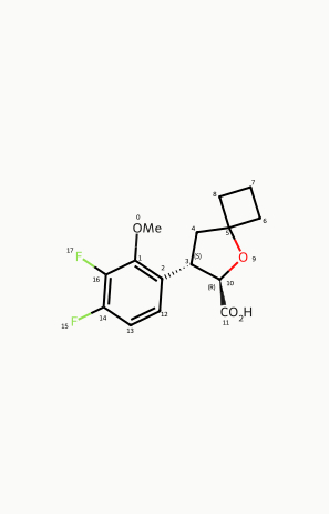 COc1c([C@@H]2CC3(CCC3)O[C@H]2C(=O)O)ccc(F)c1F